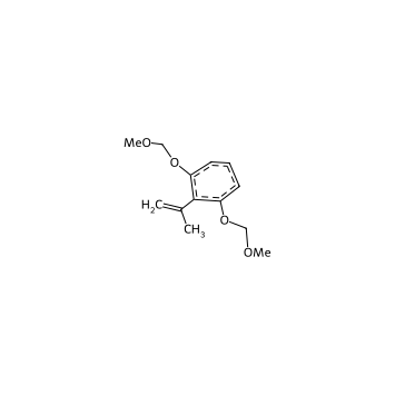 C=C(C)c1c(OCOC)cccc1OCOC